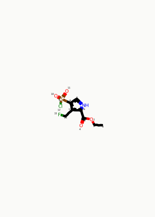 CCOC(=O)c1[nH]cc(S(=O)(=O)Cl)c1CF